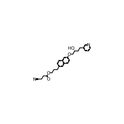 N#CCCC(=O)OCCCc1ccc2cc(OC[C@H](O)CCc3cccnc3)ccc2c1